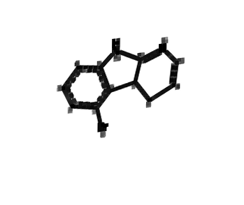 Brc1cccc2c1C1CC=CN=C1N2